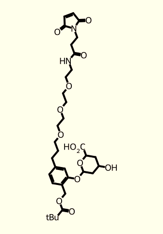 CC(C)(C)C(=O)OCc1ccc(CCCOCCOCCOCCNC(=O)CCN2C(=O)C=CC2=O)cc1OC1CC(O)CC(C(=O)O)O1